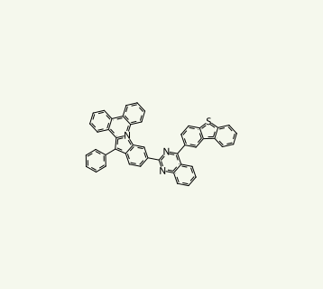 c1ccc(-c2c3ccc(-c4nc(-c5ccc6sc7ccccc7c6c5)c5ccccc5n4)cc3n3c4ccccc4c4ccccc4c23)cc1